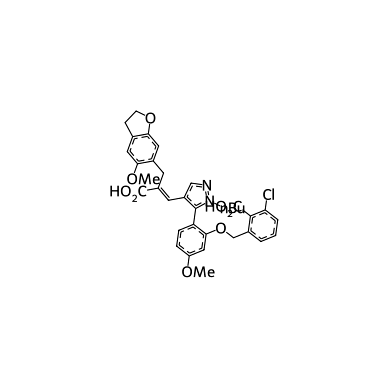 CCCCn1ncc(/C=C(\Cc2cc3c(cc2OC)CCO3)C(=O)O)c1-c1ccc(OC)cc1OCc1cccc(Cl)c1C(=O)O